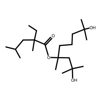 CCC(C)(CC(C)C)C(=O)OC(C)(CCCC(C)(C)O)CC(C)(C)O